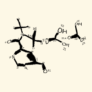 CC(C)(C)N(C(=O)c1cc(C=O)ccn1)C(C)(C)C.O=C(O)O.O=C(O)O